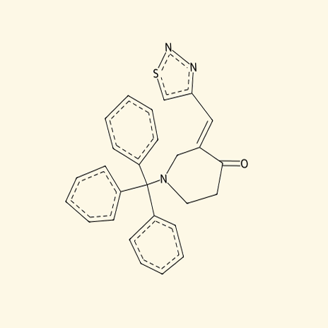 O=C1CCN(C(c2ccccc2)(c2ccccc2)c2ccccc2)C/C1=C\c1csnn1